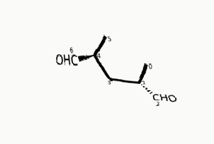 C[C@H](C=O)C[C@H](C)C=O